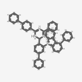 c1ccc(C2=NC(c3ccc(-c4ccccc4)cc3-n3c4ccccc4c4c(-c5ccccc5)cccc43)NC(c3ccc(-c4ccccc4)cc3)=N2)cc1